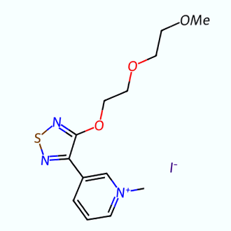 COCCOCCOc1nsnc1-c1ccc[n+](C)c1.[I-]